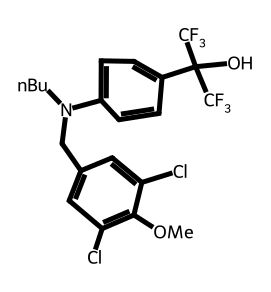 CCCCN(Cc1cc(Cl)c(OC)c(Cl)c1)c1ccc(C(O)(C(F)(F)F)C(F)(F)F)cc1